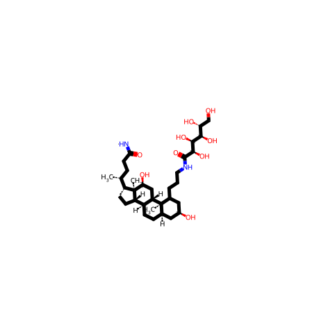 C[C@H](CCC([NH])=O)[C@H]1CC[C@H]2[C@@H]3CC[C@@H]4C[C@H](O)CC(CCCNC(=O)[C@H](O)[C@@H](O)[C@H](O)[C@H](O)CO)[C@]4(C)[C@H]3C[C@H](O)[C@]12C